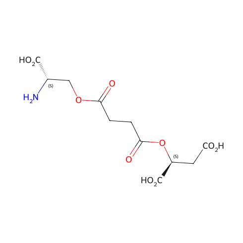 N[C@@H](COC(=O)CCC(=O)O[C@@H](CC(=O)O)C(=O)O)C(=O)O